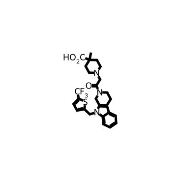 CC1(C(=O)O)CCN(CC(=O)N2CCc3c(n(Cc4ccc(C(F)(F)F)s4)c4ccccc34)C2)CC1